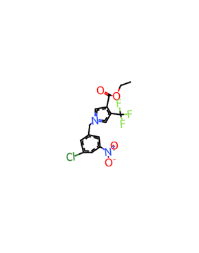 CCOC(=O)c1cn(Cc2cc(Cl)cc([N+](=O)[O-])c2)cc1C(F)(F)F